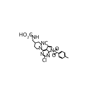 Cc1ccc(S(=O)(=O)n2cc(C#N)c3c(N4CCC(CNC(=O)O)CC4)nc(Cl)nc32)cc1